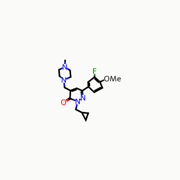 COc1ccc(-c2cc(CN3CCN(C)CC3)c(=O)n(CC3CC3)n2)cc1F